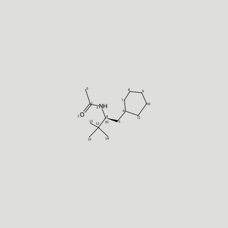 CC(=O)N[C@@H](CC1CCCCC1)C(C)(C)C